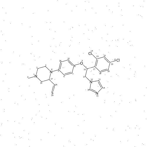 CN1CCN(c2ccc(OC(Cn3ccnc3)c3ccc(Cl)cc3Cl)cc2)C(C=S)C1